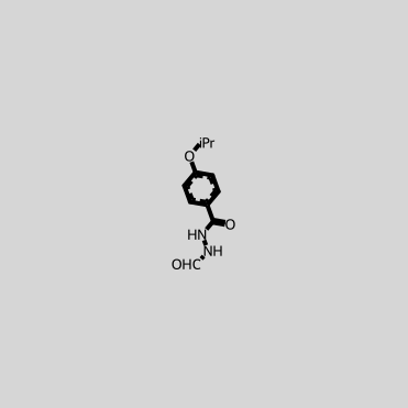 CC(C)Oc1ccc(C(=O)NNC=O)cc1